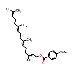 COc1ccc(C(=O)OC/C=C(\C)CC/C=C(\C)CC/C=C(\C)CCC=C(C)C)cc1